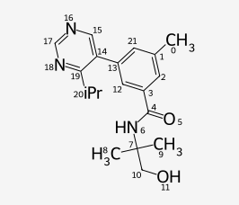 Cc1cc(C(=O)NC(C)(C)CO)cc(-c2cncnc2C(C)C)c1